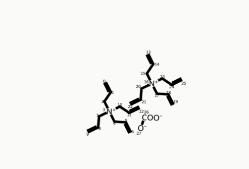 C=CC[N+](CC=C)(CC=C)CC=C.C=CC[N+](CC=C)(CC=C)CC=C.O=C([O-])[O-]